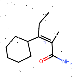 CC/C(=C(\C)C(N)=O)C1CCCCC1